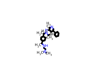 C=C(Bc1c(-c2ccccc2)cnc(C)c1C)NC(=C)c1ccc(C(=C)NCCN(C)C)cc1